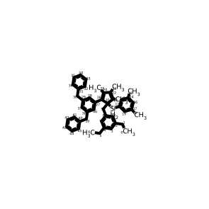 CCc1cc(CC)cc(CC2([SiH2]c3cc(C)cc(C)c3)C(C)=C(C)C(C)=C2c2cc(Cc3ccccc3)cc(Cc3ccccc3)c2)c1